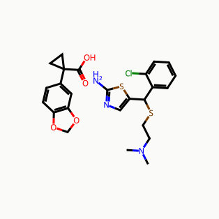 CN(C)CCSC(c1cnc(N)s1)c1ccccc1Cl.O=C(O)C1(c2ccc3c(c2)OCO3)CC1